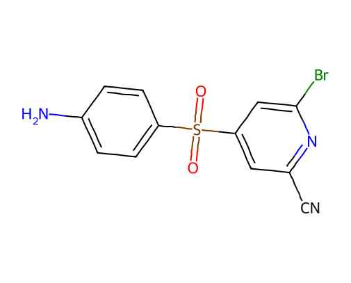 N#Cc1cc(S(=O)(=O)c2ccc(N)cc2)cc(Br)n1